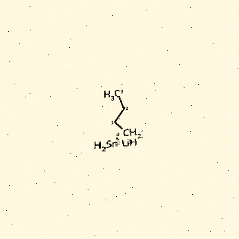 [CH2]CCC.[LiH].[SnH2]